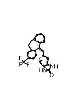 O=c1[nH]c2ccc(/C=C3/c4ccccc4CCc4cc(C(F)(F)F)ccc43)cc2[nH]1